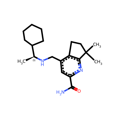 C[C@H](NCc1cc(C(N)=O)nc2c1CCC2(C)C)C1CCCCC1